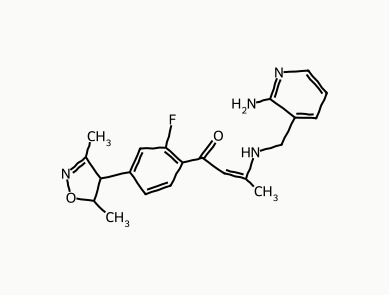 CC1=NOC(C)C1c1ccc(C(=O)/C=C(/C)NCc2cccnc2N)c(F)c1